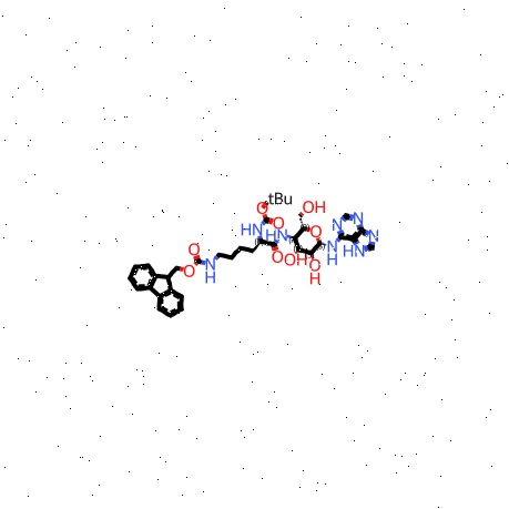 CC(C)(C)OC(=O)N[C@H](CCCCNC(=O)OCC1c2ccccc2-c2ccccc21)C(=O)N[C@@H]1[C@@H](O)[C@H](O)[C@@H](Nc2ncnc3nc[nH]c23)O[C@H]1CO